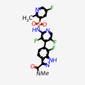 CNC(=O)c1n[nH]c2c(F)c(-c3c(F)cnc(NS(=O)(=O)c4cc(F)cnc4C)c3F)ccc12